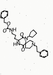 O=C(NCCC[C@@H]1NC(=O)C2(CCN(CCc3ccccc3)CC2)N(C2CCCC2)C1=O)OCc1ccccc1